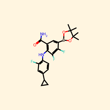 CC1(C)OB(c2cc(C(N)=O)c(Nc3ccc(C4CC4)cc3F)c(F)c2F)OC1(C)C